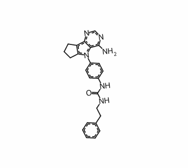 Nc1ncnc2c3c(n(-c4ccc(NC(=O)NCCc5ccccc5)cc4)c12)CCC3